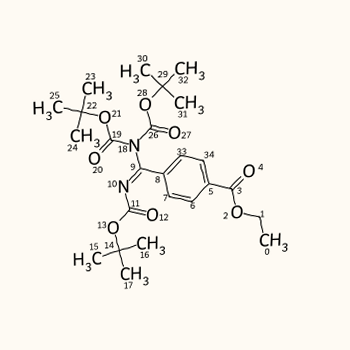 CCOC(=O)c1ccc(/C(=N\C(=O)OC(C)(C)C)N(C(=O)OC(C)(C)C)C(=O)OC(C)(C)C)cc1